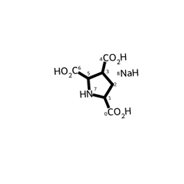 O=C(O)C1CC(C(=O)O)C(C(=O)O)N1.[NaH]